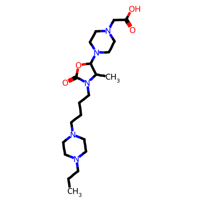 CCCN1CCN(CCCCN2C(=O)OC(N3CCN(CC(=O)O)CC3)C2C)CC1